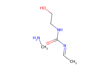 CC=NC(=O)NCCO.CN